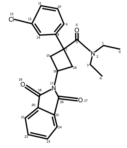 CCN(CC)C(=O)C1(c2cccc(Cl)c2)CC(N2C(=O)c3ccccc3C2=O)C1